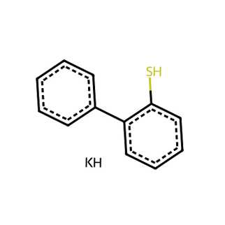 Sc1ccccc1-c1ccccc1.[KH]